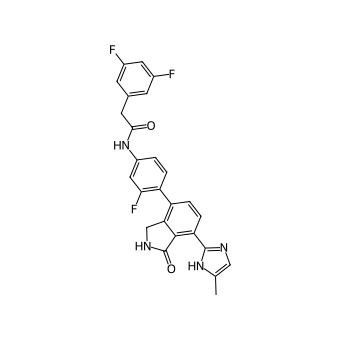 Cc1cnc(-c2ccc(-c3ccc(NC(=O)Cc4cc(F)cc(F)c4)cc3F)c3c2C(=O)NC3)[nH]1